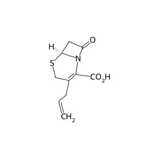 C=CCC1=C(C(=O)O)N2C(=O)C[C@@H]2SC1